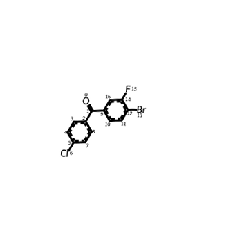 O=C(c1ccc(Cl)cc1)c1ccc(Br)c(F)c1